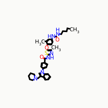 CCCCCNC(=O)Nc1cc(C)c(Oc2cnc(NC(=O)c3ccc(-n4cc(CN5CCCCC5)c5ccccc54)cc3)s2)c(C)c1